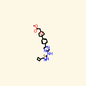 COC(=O)CC12CCC(c3ccc(-c4cnc(Nc5nnc(C6CCC6)s5)cn4)cc3)(CC1)CO2